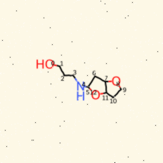 OCCCNC1CC2OCCC2O1